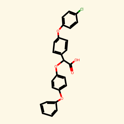 O=C(O)C(Oc1ccc(Oc2ccccc2)cc1)c1ccc(Oc2ccc(Cl)cc2)cc1